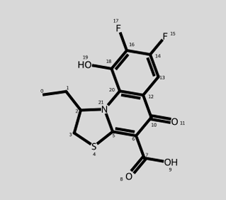 CCC1CSc2c(C(=O)O)c(=O)c3cc(F)c(F)c(O)c3n21